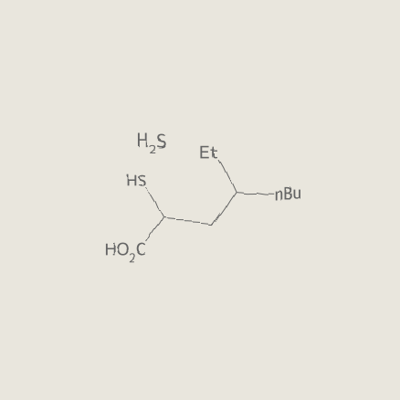 CCCCC(CC)CC(S)C(=O)O.S